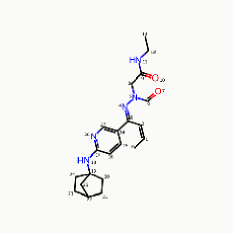 C/C=C\C(=N/N(C=O)CC(=O)NCC)c1ccc(NC23CCC(CC2)C3)nc1